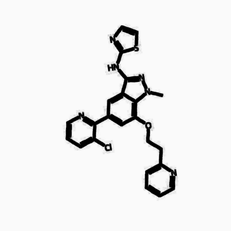 Cn1nc(Nc2nccs2)c2cc(-c3ncccc3Cl)cc(OCCc3ccccn3)c21